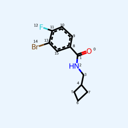 O=C(NCC1CCC1)c1ccc(F)c(Br)c1